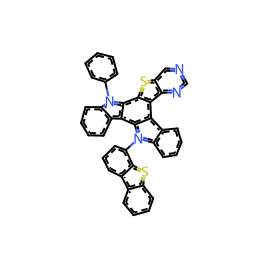 c1ccc(-n2c3ccccc3c3c2c2sc4cncnc4c2c2c4ccccc4n(-c4cccc5c4sc4ccccc45)c23)cc1